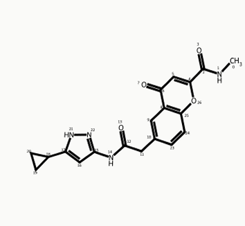 CNC(=O)c1cc(=O)c2cc(CC(=O)Nc3cc(C4CC4)[nH]n3)ccc2o1